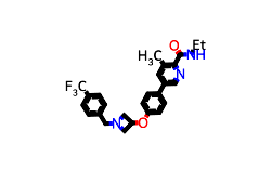 CCNC(=O)c1ncc(-c2ccc(OC3CN(Cc4ccc(C(F)(F)F)cc4)C3)cc2)cc1C